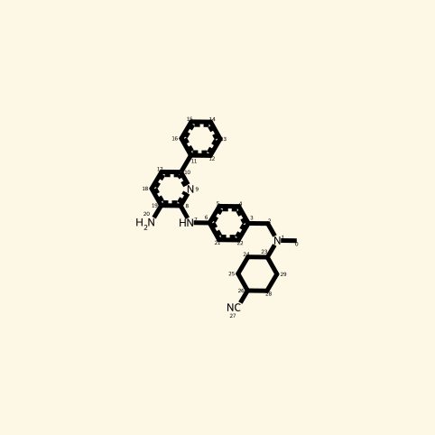 CN(Cc1ccc(Nc2nc(-c3ccccc3)ccc2N)cc1)C1CCC(C#N)CC1